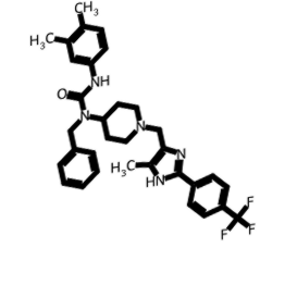 Cc1ccc(NC(=O)N(Cc2ccccc2)C2CCN(Cc3nc(-c4ccc(C(F)(F)F)cc4)[nH]c3C)CC2)cc1C